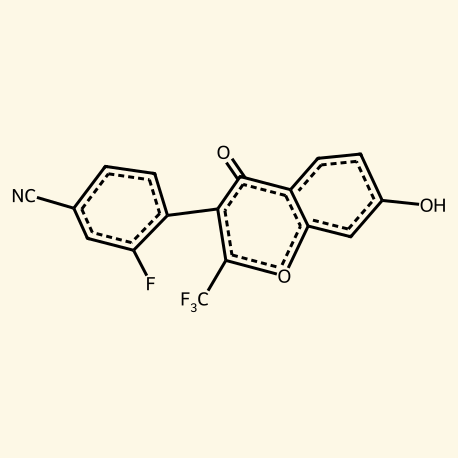 N#Cc1ccc(-c2c(C(F)(F)F)oc3cc(O)ccc3c2=O)c(F)c1